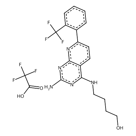 Nc1nc(NCCCCO)c2ccc(-c3ccccc3C(F)(F)F)nc2n1.O=C(O)C(F)(F)F